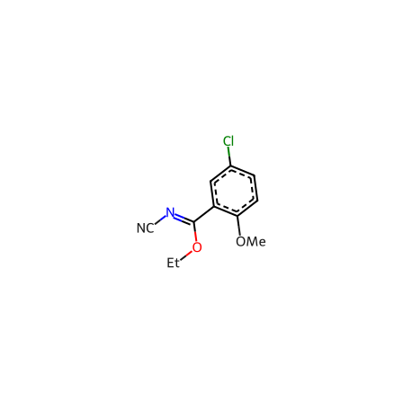 CCOC(=NC#N)c1cc(Cl)ccc1OC